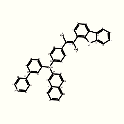 [2H]/C(=C(/[2H])c1cccc2c1sc1ccccc12)c1ccc(N(c2cccc(-c3ccncc3)c2)c2ccc3ccccc3c2)cc1